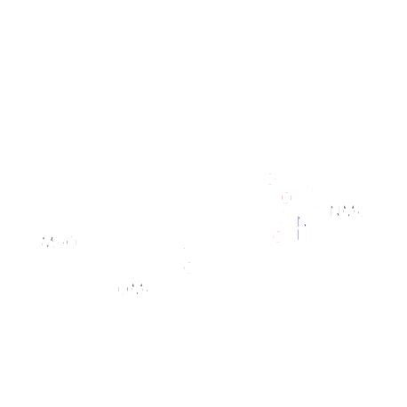 CNC(=S)NS(=O)(=O)c1cc(CCC(=O)C=Cc2ccc(OC)cc2OC)ccc1OCc1ccccc1